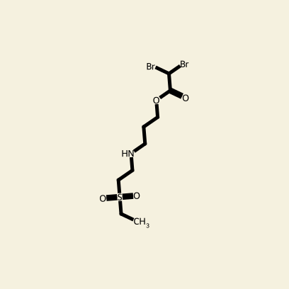 CCS(=O)(=O)CCNCCCOC(=O)C(Br)Br